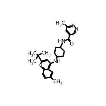 Cc1ccc2nc(C(C)(C)C)cc(NC3CCC(NC(=O)c4cnnc(C)c4)CC3)c2c1